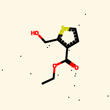 CCOC(=O)c1ccsc1CO